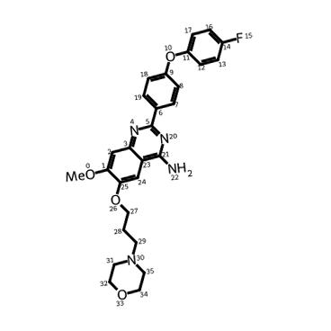 COc1cc2nc(-c3ccc(Oc4ccc(F)cc4)cc3)nc(N)c2cc1OCCCN1CCOCC1